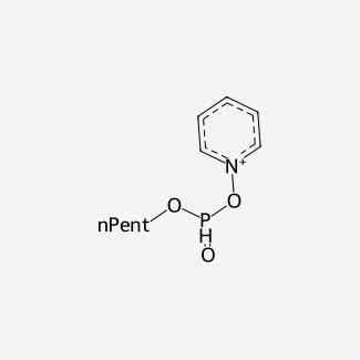 CCCCCO[PH](=O)O[n+]1ccccc1